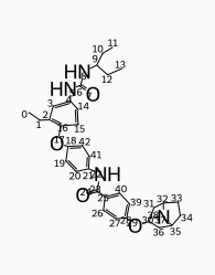 CCc1cc(NC(=O)NC(CC)CC)ccc1Oc1ccc(NC(=O)c2ccc(OC3CC4CCC(C3)N4C)cc2)cc1